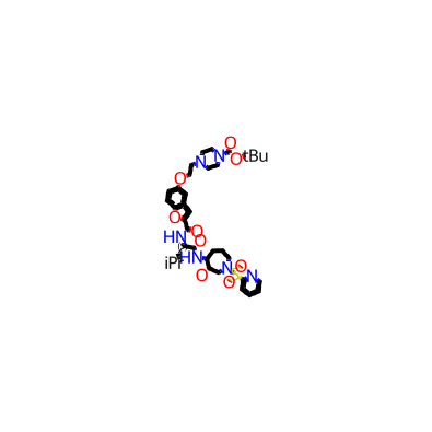 CC(C)C[C@H](NC(=O)c1cc2cc(OCCN3CCN(C(=O)OC(C)(C)C)CC3)ccc2o1)C(=O)NC1CCCN(S(=O)(=O)c2ccccn2)CC1=O